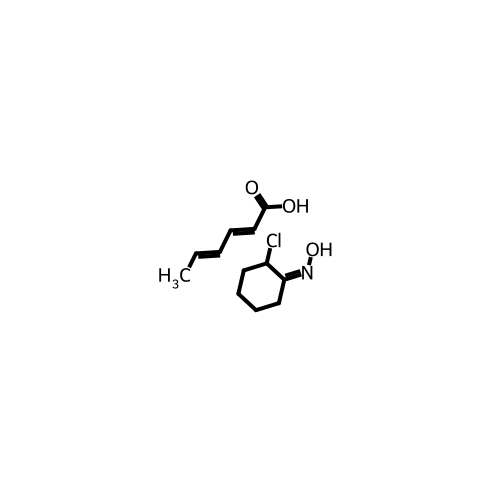 C/C=C/C=C/C(=O)O.O/N=C1/CCCCC1Cl